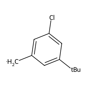 [CH2]c1cc(Cl)cc(C(C)(C)C)c1